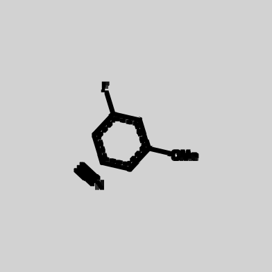 C#N.COc1cccc(F)c1